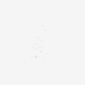 Cc1nc2c(C(=O)NC3CC(F)(F)C3)ccnn2c1C(N)=O